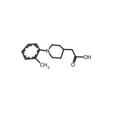 Cc1ccccc1N1CCC(CC(=O)O)CC1